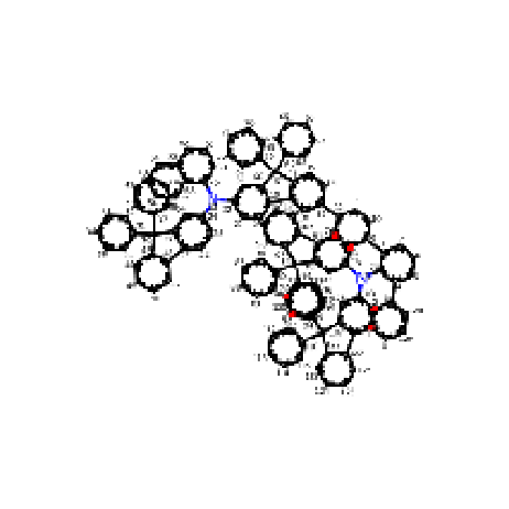 c1ccc(-c2cccc(-c3ccc(-c4ccc5c(c4)-c4ccc(N(c6ccc7c(c6)C(c6ccccc6)(c6ccccc6)c6ccccc6-7)c6cccc7ccccc67)cc4C5(c4ccccc4)c4ccccc4)cc3)c2N(c2ccc3c(c2)C(c2ccccc2)(c2ccccc2)c2ccccc2-3)c2ccc3c(c2)C(c2ccccc2)(c2ccccc2)c2ccccc2-3)cc1